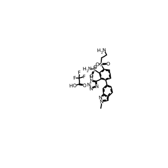 Cn1cc2ccc(-c3ccc(S(=O)(=O)CCN)c(S(N)(=O)=O)c3-c3nnn[nH]3)cc2n1.O=C(O)C(F)(F)F